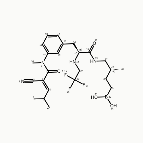 CC(C)C=C(C#N)C(=O)N(C)c1cccc(C[C@H](NCC(F)(F)F)C(=O)NC[C@H](C)CCB(O)O)c1